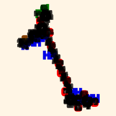 O=C1CCC(N2Cc3c(NC(=O)CCOCCOCCOCCNCCOCCNC(=O)[C@]4(Cc5cccc(Nc6nccs6)n5)CC[C@@H](Oc5cccc(Cl)c5F)CC4)cccc3C2=O)C(=O)N1